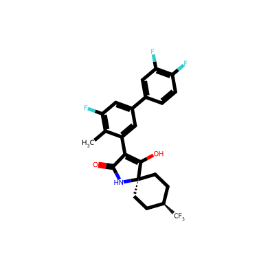 Cc1c(F)cc(-c2ccc(F)c(F)c2)cc1C1=C(O)[C@]2(CC[C@H](C(F)(F)F)CC2)NC1=O